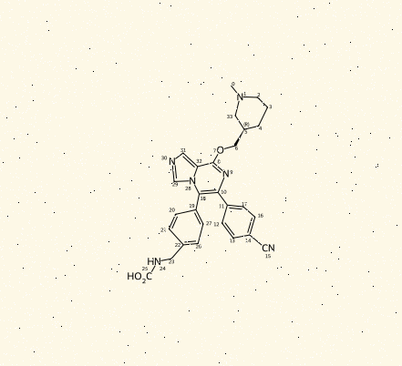 CN1CCC[C@@H](COc2nc(-c3ccc(C#N)cc3)c(-c3ccc(CNC(=O)O)cc3)n3cncc23)C1